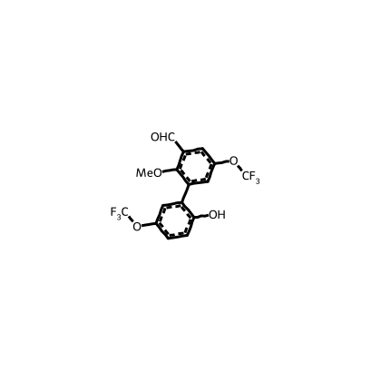 COc1c(C=O)cc(OC(F)(F)F)cc1-c1cc(OC(F)(F)F)ccc1O